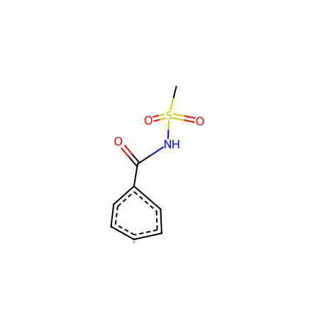 CS(=O)(=O)NC(=O)c1cc[c]cc1